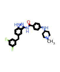 CN1CCC(Nc2ccc(C(=O)Nc3n[nH]c4ccc(Cc5cc(F)cc(F)c5)cc34)cc2)CC1